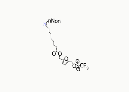 CCCCCCCCC/C=C\CCCCCCCC(=O)OCc1ccc(COS(=O)(=O)C(F)(F)F)o1